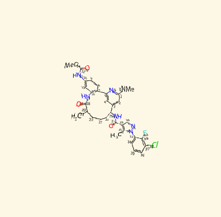 CNc1cc2cc(n1)-c1ccc(NC(=O)OC)cc1NC(=O)C(C)CCCC2NC(=O)c1cnn(-c2cccc(Cl)c2F)c1C